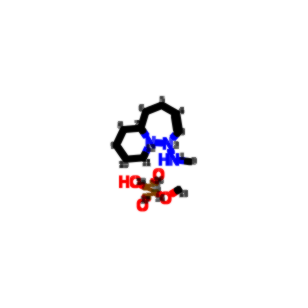 CNN1C=CCCC2CCCCN21.COS(=O)(=O)O